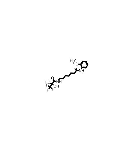 COc1ccccc1NC(=O)CCCCCCNC(=O)C(O)(O)C(F)(F)F